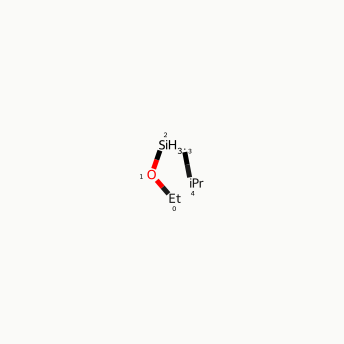 CCO[SiH3].[CH2]C(C)C